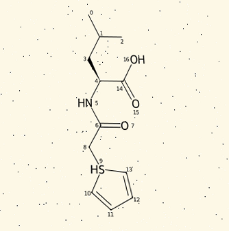 CC(C)C[C@H](NC(=O)C[SH]1C=CC=C1)C(=O)O